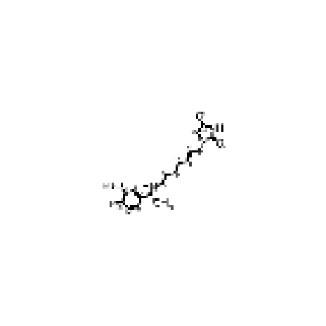 CC(C)COc1cc([C@@H](C)NCCCC/C=C/CN2CC(=O)NC2=O)ccc1F